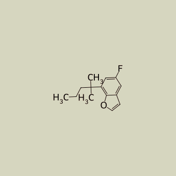 CCCC(C)(C)c1cc(F)cc2ccoc12